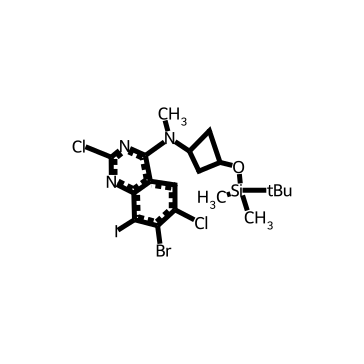 CN(c1nc(Cl)nc2c(I)c(Br)c(Cl)cc12)C1CC(O[Si](C)(C)C(C)(C)C)C1